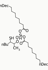 CCCCCCCCCCCCCCCCCC(=O)O[SiH](OOC(C)C(S)CCCC)OC(=O)CCCCCCCCCCCCCCCCC